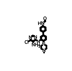 CN1CCN(c2ccc(-c3ccc(NC=O)cc3)cc2Nc2ncnc(Cl)c2N)CC1